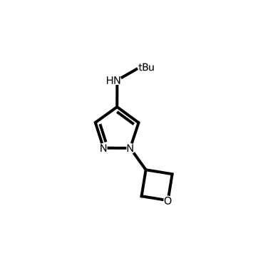 CC(C)(C)Nc1cnn(C2COC2)c1